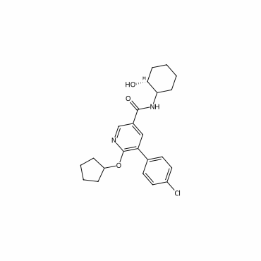 O=C(NC1CCCC[C@H]1O)c1cnc(OC2CCCC2)c(-c2ccc(Cl)cc2)c1